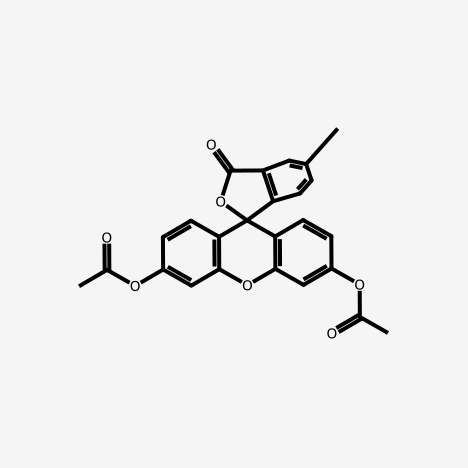 CC(=O)Oc1ccc2c(c1)Oc1cc(OC(C)=O)ccc1C21OC(=O)c2cc(C)ccc21